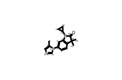 Cc1cncn1-c1ccc2c(c1)N(C1CC1)C(=O)C2(C)C